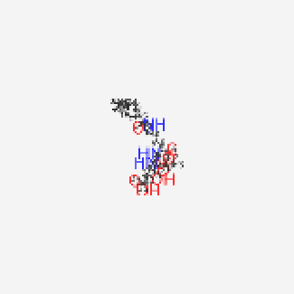 CC(C)(C)OC(=O)C(CCCCNC(=O)Cc1cc[c]([Sn]([CH3])([CH3])[CH3])cc1)NC(=O)NC(CCC(=O)O)C(=O)O